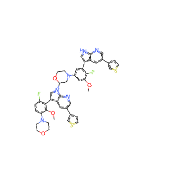 COc1cc(N2CCOC(n3cc(-c4c(F)ccc(N5CCOCC5)c4OC)c4cc(-c5ccsc5)cnc43)C2)cc(-c2c[nH]c3ncc(-c4ccsc4)cc23)c1F